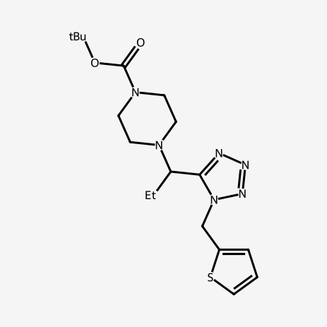 CCC(c1nnnn1Cc1cccs1)N1CCN(C(=O)OC(C)(C)C)CC1